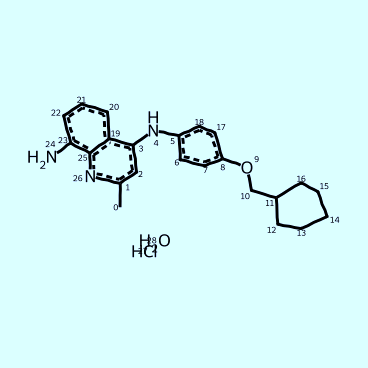 Cc1cc(Nc2ccc(OCC3CCCCC3)cc2)c2cccc(N)c2n1.Cl.O